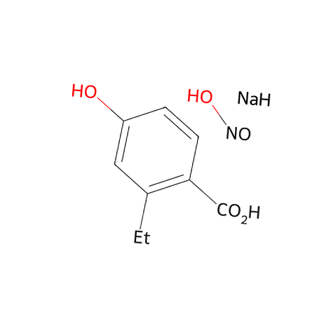 CCc1cc(O)ccc1C(=O)O.O=NO.[NaH]